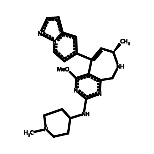 COc1nc(NC2CCN(C)CC2)nc2c1C(c1ccn3nccc3c1)=C[C@@H](C)NC2